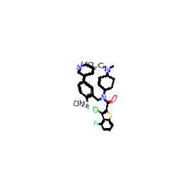 COc1ccc(-c2cccnc2)cc1CN(C(=O)c1sc2cccc(F)c2c1Cl)C1CCC(N(C)C(=O)O)CC1